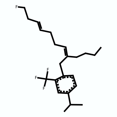 CCCC/C(=C/CC/C=C/CCF)Cc1ccc(C(C)C)cc1C(F)(F)F